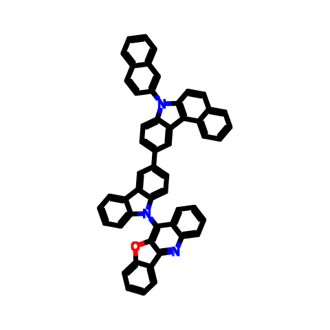 c1ccc2cc(-n3c4ccc(-c5ccc6c(c5)c5ccccc5n6-c5c6ccccc6nc6c5oc5ccccc56)cc4c4c5ccccc5ccc43)ccc2c1